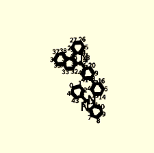 c1ccc(-c2nc3ccccc3n2-c2cccc(-c3ccc(-c4nc5ccccc5c5c4ccc4ccccc45)cc3)c2)cc1